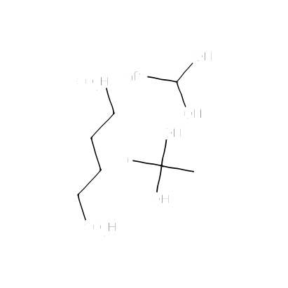 CCC(C)(O)O.CCCC(O)O.O=C(O)CCCCC(=O)O